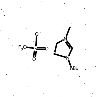 CCCCN1C=[N+](C)CC1.O=S(=O)([O-])C(F)(F)F